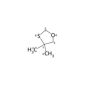 CC1(C)CO[CH]S1